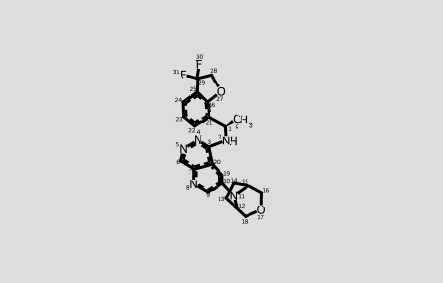 C[C@@H](Nc1nncc2ncc(N3C4CCC3COC4)cc12)c1cccc2c1OCC2(F)F